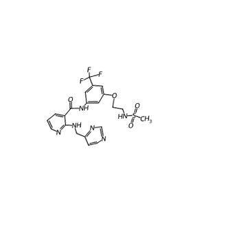 CS(=O)(=O)NCCOc1cc(NC(=O)c2cccnc2NCc2ccncn2)cc(C(F)(F)F)c1